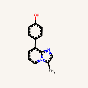 Cc1cnc2c(-c3ccc(O)cc3)cccn12